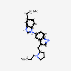 COCCN1CCCC1Cc1c[nH]c2ccc(-n3cnc4cc(CNC(C)=O)ccc43)cc12